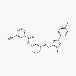 C#Cc1cccc(C(=O)OC2CCCC(OCc3nc(-c4ccc(F)cc4)oc3C)C2)c1